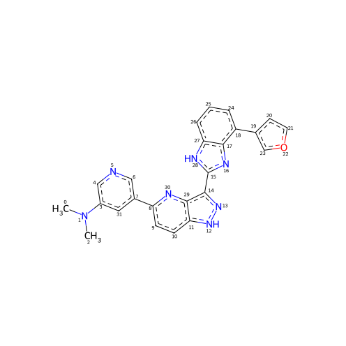 CN(C)c1cncc(-c2ccc3[nH]nc(-c4nc5c(-c6ccoc6)cccc5[nH]4)c3n2)c1